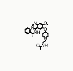 COc1cc2ncnc(N[C@H](C)c3ccccc3)c2cc1OC1CCN(CCNC(C)=O)CC1